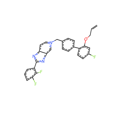 C=CCOc1cc(F)ccc1-c1ccc(Cn2ccc3nc(-c4cccc(F)c4F)nc-3c2)cc1